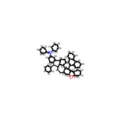 c1ccc(CC2CCc3cc4oc5ccccc5c4c(-c4cc5ccccc5c5ccccc45)c3-c3cccc(-c4cccc(N(c5ccccc5)c5ccccc5)c4)c32)cc1